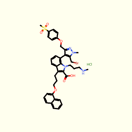 CNCCCn1c(C(=O)O)c(CCCOc2cccc3ccccc23)c2cccc(-c3c(COc4ccc(S(C)(=O)=O)cc4)nn(C)c3CBr)c21.Cl